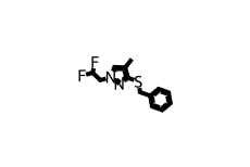 Cc1cn(CC(F)F)nc1SCc1ccccc1